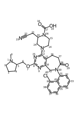 CN1CCCC1COc1nc2c(c(N3CCN(C(=O)O)C(CC#N)C3)n1)CCC(=O)N(c1cccc3cccc(Cl)c13)C2